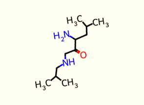 CC(C)CNCC(=O)C(N)CC(C)C